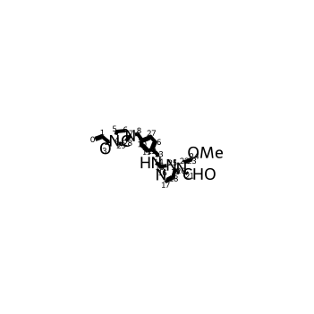 C=CC(=O)N1CCN(Cc2ccc(CNc3nccc(N(C=O)CCOC)n3)cc2)CC1